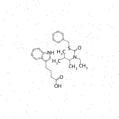 CCN(C(=O)SCc1ccccc1)C(C)C(C)C.O=C(O)CCCc1c[nH]c2ccccc12